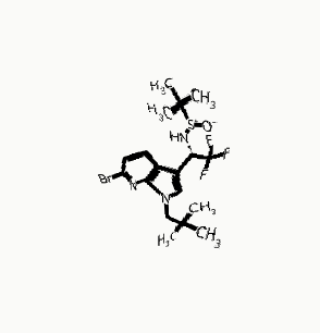 CC(C)(C)Cn1cc([C@H](N[S+]([O-])C(C)(C)C)C(F)(F)F)c2ccc(Br)nc21